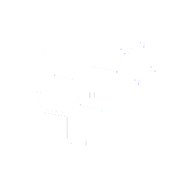 CC1(Cc2c(Cl)ccc(C(=O)O)c2Cl)N=NN=N1